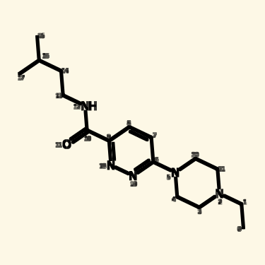 CCN1CCN(c2ccc(C(=O)NCCC(C)C)nn2)CC1